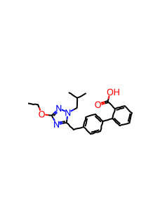 CCOc1nc(Cc2ccc(-c3ccccc3C(=O)O)cc2)n(CC(C)C)n1